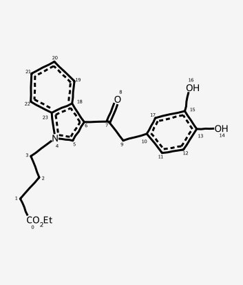 CCOC(=O)CCCn1cc(C(=O)Cc2ccc(O)c(O)c2)c2ccccc21